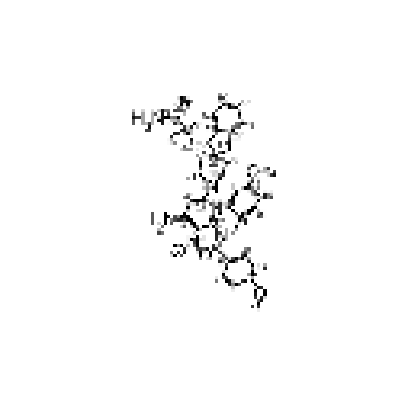 COc1ccc(CN(Cc2ccc(OC)cc2)c2nc(N3CCC4(CC3)Cc3ccccc3[C@H]4CC(C)(C)[S+](N)[O-])cc(N)c2[N+](=O)[O-])cc1